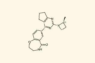 C[C@H]1CCN1c1nc2c(c(-c3ccc4c(c3)C(=O)NCCO4)n1)CCC2